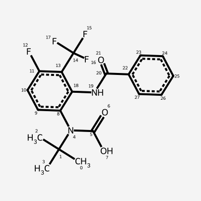 CC(C)(C)N(C(=O)O)c1ccc(F)c(C(F)(F)F)c1NC(=O)c1ccccc1